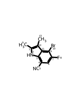 Cc1[nH]c2c(C#N)cc(F)c(Br)c2c1C